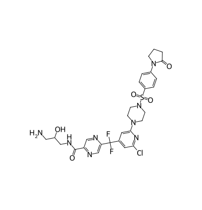 NCC(O)CNC(=O)c1cnc(C(F)(F)c2cc(Cl)nc(N3CCN(S(=O)(=O)c4ccc(N5CCCC5=O)cc4)CC3)c2)cn1